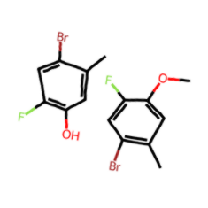 COc1cc(C)c(Br)cc1F.Cc1cc(O)c(F)cc1Br